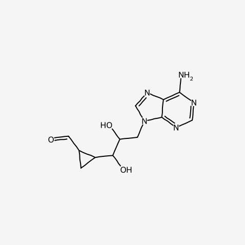 Nc1ncnc2c1ncn2CC(O)C(O)C1CC1C=O